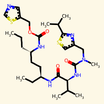 CCC[C@@H](CC[C@H](CC)NC(=O)[C@@H](NC(=O)N(C)Cc1csc(C(C)C)n1)C(C)C)NC(=O)OCc1cncs1